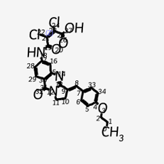 CCCOc1ccc(C=C2CCn3c2nc2cc(NC(=O)/C(Cl)=C(/Cl)C(=O)O)ccc2c3=O)cc1